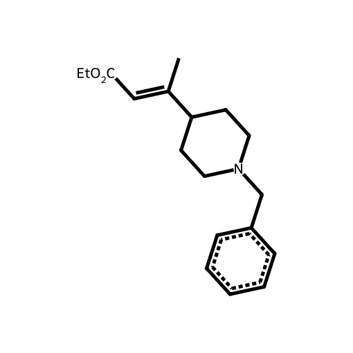 CCOC(=O)C=C(C)C1CCN(Cc2ccccc2)CC1